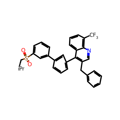 CC(C)CS(=O)(=O)c1cccc(-c2cccc(-c3c(Cc4ccccc4)cnc4c(C(F)(F)F)cccc34)c2)c1